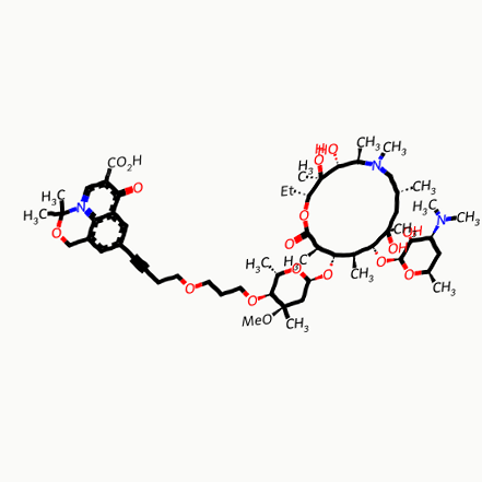 CC[C@H]1OC(=O)[C@H](C)[C@@H](O[C@H]2C[C@@](C)(OC)[C@@H](OCCCOCCC#Cc3cc4c5c(c3)c(=O)c(C(=O)O)cn5C(C)(C)OC4)[C@H](C)O2)[C@H](C)[C@@H](O[C@@H]2O[C@H](C)C[C@H](N(C)C)[C@H]2O)[C@](C)(O)C[C@@H](C)CN(C)[C@H](C)[C@@H](O)[C@]1(C)O